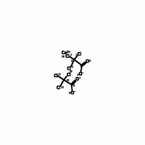 O=C([O-])C(Cl)(Cl)Cl.O=C([O-])C(Cl)(Cl)Cl.[Ca+2]